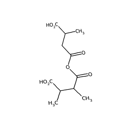 CC(CC(=O)OC(=O)C(C)C(C)C(=O)O)C(=O)O